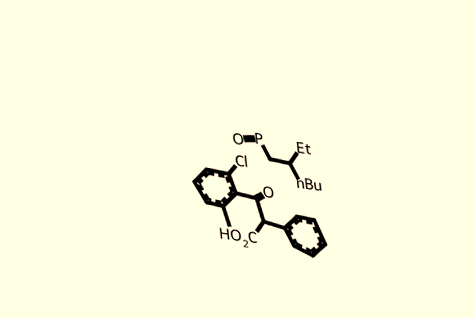 CCCCC(CC)CP=O.Cc1cccc(Cl)c1C(=O)C(C(=O)O)c1ccccc1